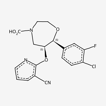 N#Cc1cccnc1O[C@H]1CN(C(=O)O)CCO[C@H]1c1ccc(Cl)c(F)c1